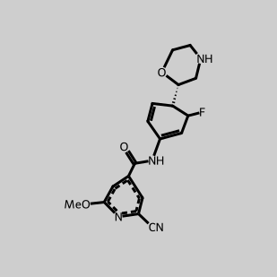 COc1cc(C(=O)NC2=CC(F)C([C@H]3CNCCO3)C=C2)cc(C#N)n1